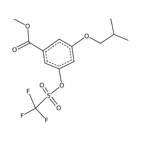 COC(=O)c1cc(OCC(C)C)cc(OS(=O)(=O)C(F)(F)F)c1